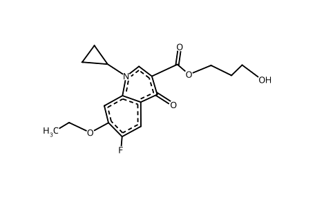 CCOc1cc2c(cc1F)c(=O)c(C(=O)OCCCO)cn2C1CC1